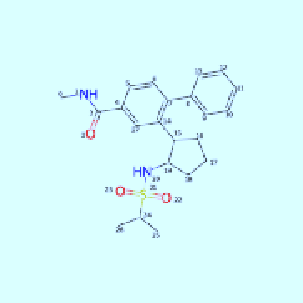 CNC(=O)c1ccc(-c2ccccc2)c(C2CCCC2NS(=O)(=O)C(C)C)c1